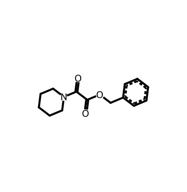 O=C(OCc1ccccc1)C(=O)N1CCCCC1